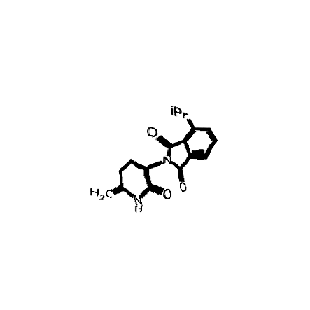 C=C1CCC(N2C(=O)c3cccc(C(C)C)c3C2=O)C(=O)N1